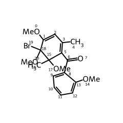 COC1=CC(C)=C(C(=O)c2ccccc2OC)C(C)(OC)C1(Br)OC